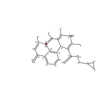 CC(=O)C1=C(C)NC(C)=C(C(=O)OCC2CC2)C1c1cccc2c(=O)cc(C)oc12